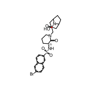 O=C1[C@@H](NS(=O)(=O)c2ccc3cc(Br)ccc3c2)CCCN1CC(=O)N1C2CCC1CC(O)C2